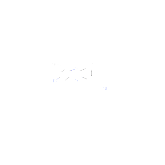 CCCCOC1=CC(=Nc2ccc(CCNCCO)cc2C)C(N)=CC1=N